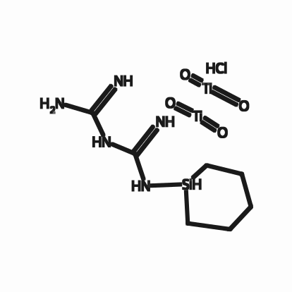 Cl.N=C(N)NC(=N)N[SiH]1CCCCC1.[O]=[Ti]=[O].[O]=[Ti]=[O]